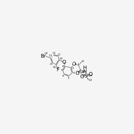 CC(Oc1ccccc1Oc1ccc(Br)cc1F)C(=O)NS(C)(=O)=O